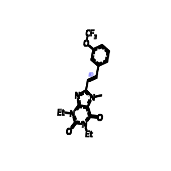 CCn1c(=O)c2c(nc(/C=C/c3cccc(OC(F)(F)F)c3)n2C)n(CC)c1=O